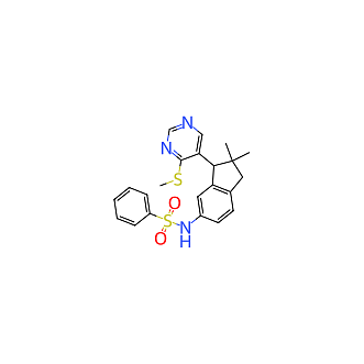 CSc1ncncc1C1c2cc(NS(=O)(=O)c3ccccc3)ccc2CC1(C)C